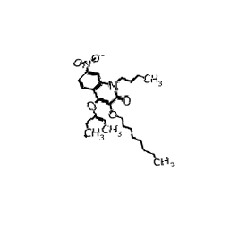 CC=C(CC)Oc1c(OCCCCCCCC)c(=O)n(CCCC)c2cc([N+](=O)[O-])ccc12